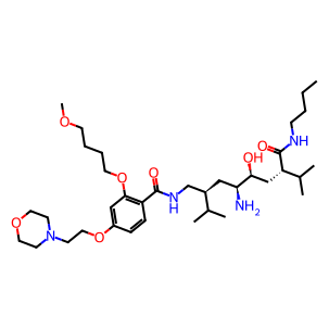 CCCCNC(=O)[C@@H](C[C@H](O)[C@@H](N)C[C@H](CNC(=O)c1ccc(OCCN2CCOCC2)cc1OCCCCOC)C(C)C)C(C)C